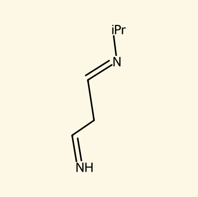 CC(C)/N=C/CC=N